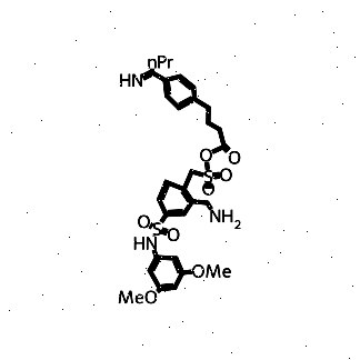 CCCC(=N)c1ccc(CCCC(=O)OS(=O)(=O)Cc2ccc(S(=O)(=O)Nc3cc(OC)cc(OC)c3)cc2CN)cc1